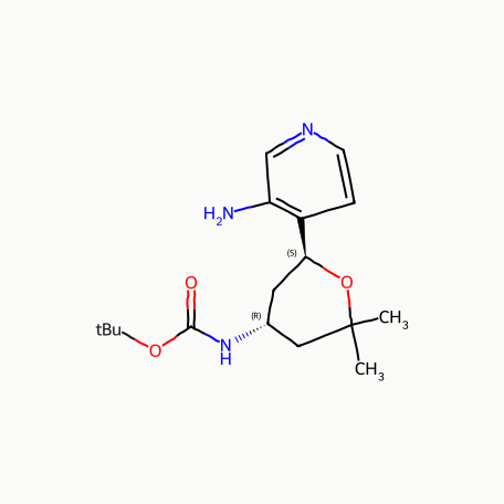 CC(C)(C)OC(=O)N[C@@H]1C[C@@H](c2ccncc2N)OC(C)(C)C1